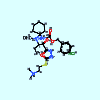 CC(C)CC(C(=O)c1nnc(SCCN(C)C)o1)N(C=O)C1(NC(=O)OCc2ccccc2)CCCCC1.Cl